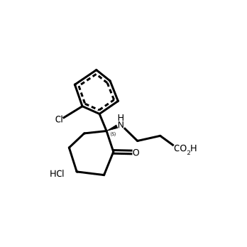 Cl.O=C(O)CCN[C@]1(c2ccccc2Cl)CCCCC1=O